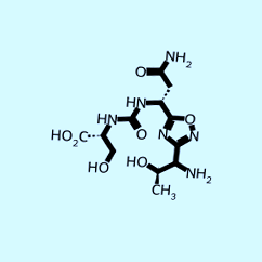 C[C@@H](O)C(N)c1noc([C@@H](CC(N)=O)NC(=O)N[C@H](CO)C(=O)O)n1